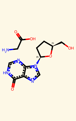 NCC(=O)O.O=c1[nH]cnc2c1ncn2[C@H]1CC[C@@H](CO)O1